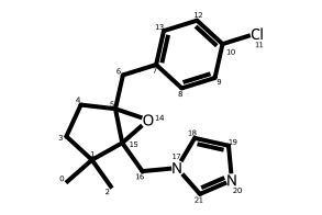 CC1(C)CCC2(Cc3ccc(Cl)cc3)OC12Cn1ccnc1